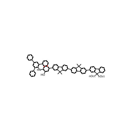 CCCCCCCCC1(CCCCCCCC)c2ccccc2-c2ccc(-c3ccc4c(c3)C(C)(C)c3cc(-c5ccc6c(c5)C(C)(C)c5cc(-c7ccc(Nc8c(-c9ccccc9)cc(-c9ccccc9)cc8-c8ccccc8)c(O)c7)ccc5-6)ccc3-4)cc21